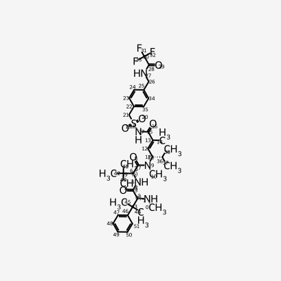 CN[C@H](C(=O)N[C@H](C(=O)N(C)[C@H](C=C(C)C(=O)NS(=O)(=O)Cc1ccc(CNC(=O)C(F)(F)F)cc1)C(C)C)C(C)(C)C)C(C)(C)c1ccccc1